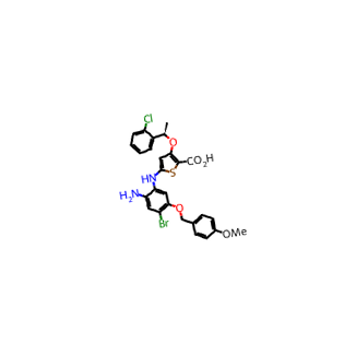 COc1ccc(COc2cc(Nc3cc(O[C@H](C)c4ccccc4Cl)c(C(=O)O)s3)c(N)cc2Br)cc1